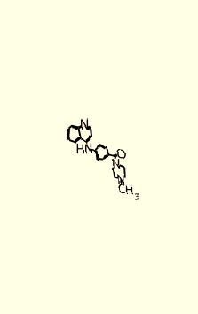 CN1CCN(C(=O)c2ccc(Nc3ccnc4ccccc34)cc2)CC1